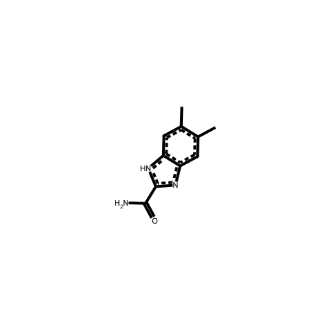 Cc1cc2nc(C(N)=O)[nH]c2cc1C